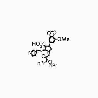 CCCON(CCC)C(=O)CN1C[C@H](c2cc(OC)c3c(c2)OCO3)[C@@H](C(=O)O)[C@@H]1CCn1ccnc1